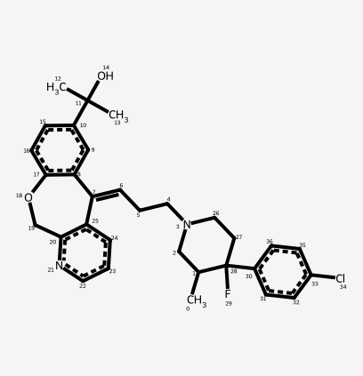 CC1CN(CCC=C2c3cc(C(C)(C)O)ccc3OCc3ncccc32)CCC1(F)c1ccc(Cl)cc1